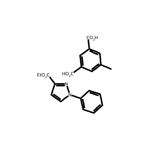 CCOC(=O)c1ccn(-c2ccccc2)n1.Cc1cc(C(=O)O)cc(C(=O)O)c1